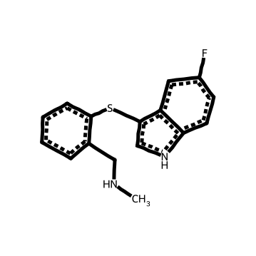 CNCc1ccccc1Sc1c[nH]c2ccc(F)cc12